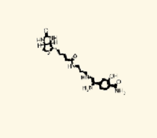 NC(=O)c1ccc(/C(N)=C/NCCCNC(=O)CCCC[C@@H]2SC[C@@H]3NC(=O)N[C@@H]32)cc1O